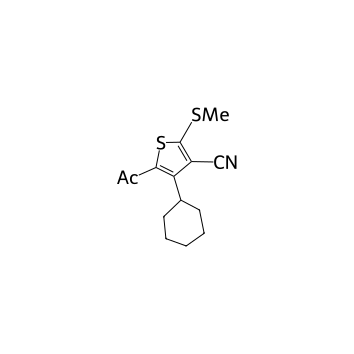 CSc1sc(C(C)=O)c(C2CCCCC2)c1C#N